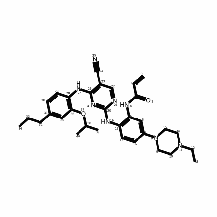 C=CC(=O)Nc1cc(N2CCN(CC)CC2)ccc1Nc1ncc(C#N)c(Nc2ccc(CCC)cc2OC(C)C)n1